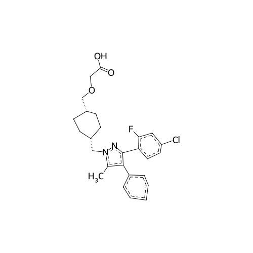 Cc1c(-c2ccccc2)c(-c2ccc(Cl)cc2F)nn1C[C@H]1CC[C@@H](COCC(=O)O)CC1